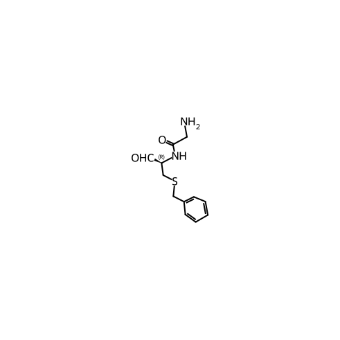 NCC(=O)N[C@H](C=O)CSCc1ccccc1